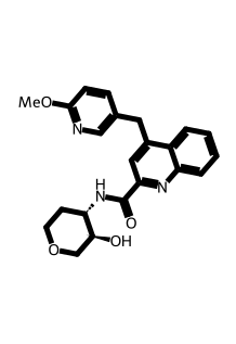 COc1ccc(Cc2cc(C(=O)N[C@H]3CCOC[C@@H]3O)nc3ccccc23)cn1